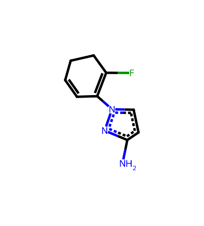 Nc1ccn(C2=C(F)CCC=C2)n1